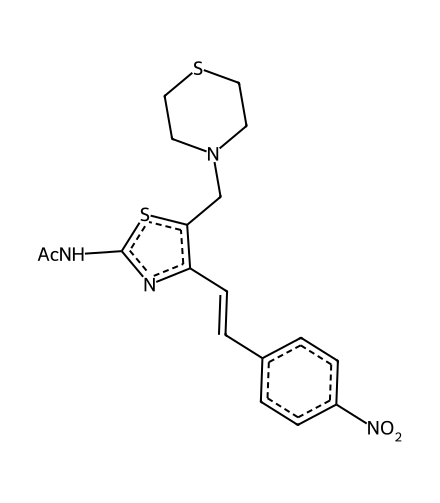 CC(=O)Nc1nc(C=Cc2ccc([N+](=O)[O-])cc2)c(CN2CCSCC2)s1